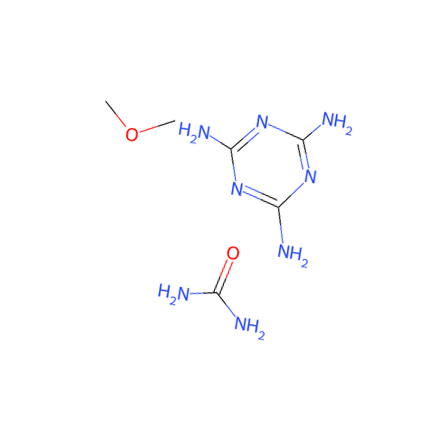 COC.NC(N)=O.Nc1nc(N)nc(N)n1